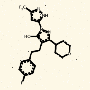 Oc1c(CCc2ccc(F)cc2)c(C2CCOCC2)nn1-c1cc(C(F)(F)F)n[nH]1